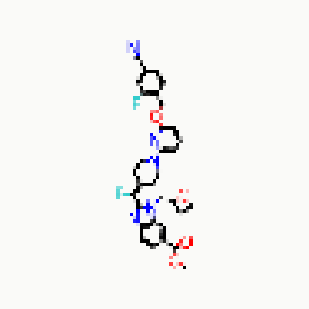 COC(=O)c1ccc2nc(C(F)=C3CCN(c4cccc(OCc5ccc(C#N)cc5F)n4)CC3)n(C[C@@H]3CCO3)c2c1